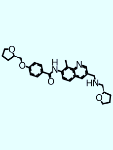 Cc1c(NC(=O)c2ccc(OC[C@H]3CCCO3)cc2)ccc2cc(CNC[C@H]3CCCO3)cnc12